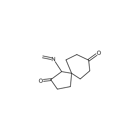 C=NC1C(=O)CCC12CCC(=O)CC2